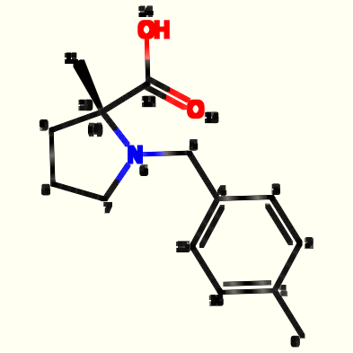 Cc1ccc(CN2CCC[C@]2(C)C(=O)O)cc1